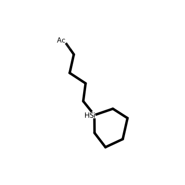 CC(=O)CCCC[SiH]1CCCCC1